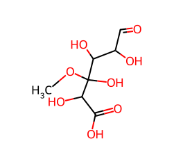 COC(O)(C(O)C(=O)O)C(O)C(O)C=O